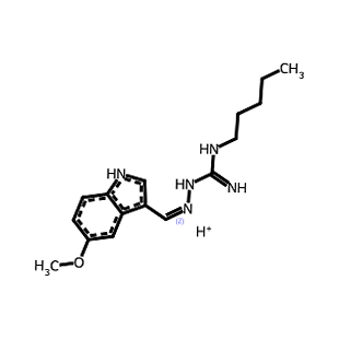 CCCCCNC(=N)N/N=C\c1c[nH]c2ccc(OC)cc12.[H+]